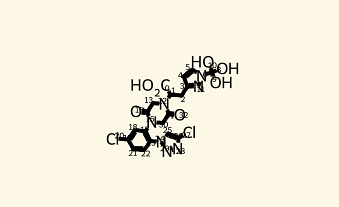 O=C(O)C(Cc1ccn(C(O)(O)O)n1)N1CC(=O)N(c2cc(Cl)ccc2-n2cc(Cl)nn2)CC1=O